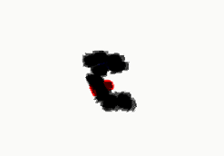 O=c1c2cc(-c3ccc(-n4c5c6ccccc6ccc5c5ccc6ccccc6c54)cc3)ccc2oc2ccc(-c3cccc(-c4ccccc4)c3)cc12